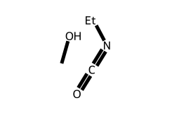 CCN=C=O.CO